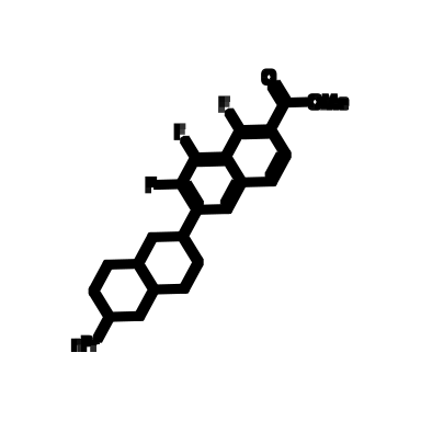 CCCC1CCC2CC(c3cc4ccc(C(=O)OC)c(F)c4c(F)c3F)CCC2C1